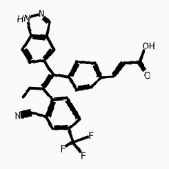 CC/C(=C(/c1ccc(/C=C/C(=O)O)cc1)c1ccc2[nH]ncc2c1)c1ccc(C(F)(F)F)cc1C#N